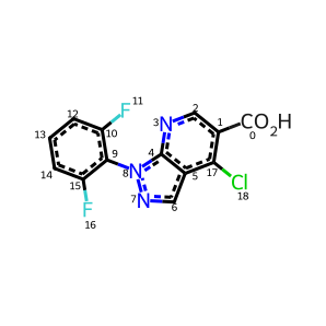 O=C(O)c1cnc2c(cnn2-c2c(F)cccc2F)c1Cl